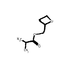 CC(C)C(=O)OCC1CCO1